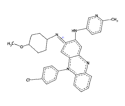 COC1CCC(/N=c2\cc3n(-c4ccc(Cl)cc4)c4ccccc4nc-3cc2Nc2ccc(C)nc2)CC1